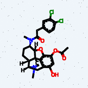 CC(=O)Oc1cc(O)c2c3c1O[C@H]1[C@H](N(C)C(=O)Cc4ccc(Cl)c(Cl)c4)CC[C@H]4[C@@H](C2)N(C)CC[C@@]341